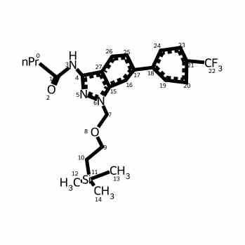 CCCC(=O)Nc1nn(COCC[Si](C)(C)C)c2cc(-c3ccc(C(F)(F)F)cc3)ccc12